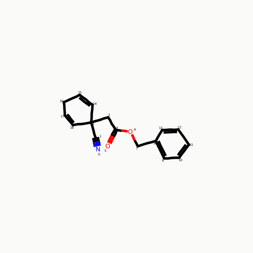 N#CC1(CC(=O)OCc2ccccc2)C=CCC=C1